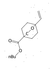 C=CC12CCC(C(=O)OCCCC)(CC1)CO2